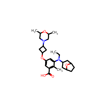 CCN(c1cc(OC2CC(N3CC(C)OC(C)C3)C2)cc(C(=O)O)c1C)C1CC2CCC(C1)O2